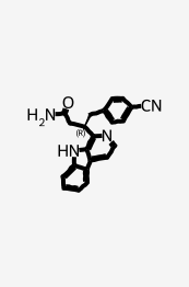 N#Cc1ccc(C[C@H](CC(N)=O)c2nccc3c2[nH]c2ccccc23)cc1